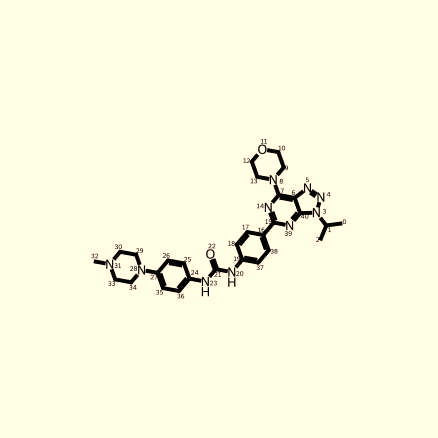 CC(C)n1nnc2c(N3CCOCC3)nc(-c3ccc(NC(=O)Nc4ccc(N5CCN(C)CC5)cc4)cc3)nc21